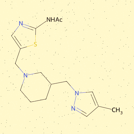 CC(=O)Nc1ncc(CN2CCCC(Cn3cc(C)cn3)C2)s1